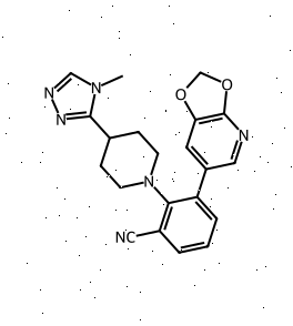 Cn1cnnc1C1CCN(c2c(C#N)cccc2-c2cnc3c(c2)OCO3)CC1